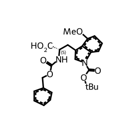 COc1cccc2c1c(C[C@H](NC(=O)OCc1ccccc1)C(=O)O)cn2C(=O)OC(C)(C)C